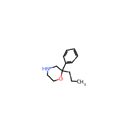 CCCC1(c2ccccc2)CNCCO1